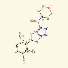 O=C(c1nnc2n1CC(c1c(O)ccc(Cl)c1Cl)C2)N1CCOCC1